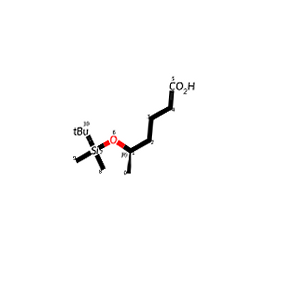 C[C@H](CCCC(=O)O)O[Si](C)(C)C(C)(C)C